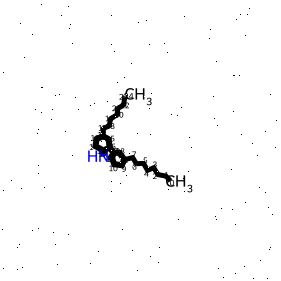 CCCCCCCCc1ccc2[nH]c3ccc(CCCCCCCC)cc3c2c1